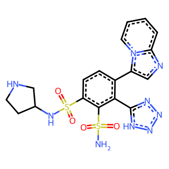 NS(=O)(=O)c1c(S(=O)(=O)NC2CCNC2)ccc(-c2cnc3ccccn23)c1-c1nnn[nH]1